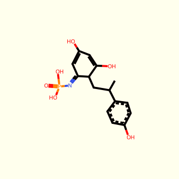 CC(CC1C(O)=CC(O)=C/C1=N\P(=O)(O)O)c1ccc(O)cc1